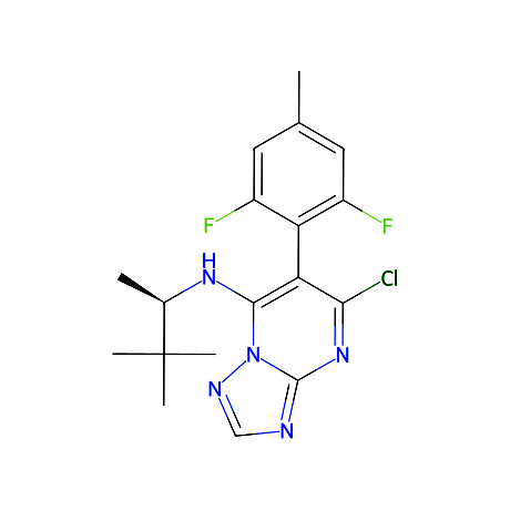 Cc1cc(F)c(-c2c(Cl)nc3ncnn3c2N[C@H](C)C(C)(C)C)c(F)c1